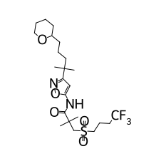 CC(C)(CS(=O)(=O)CCCC(F)(F)F)C(=O)Nc1cc(C(C)(C)CCCC2CCCCO2)no1